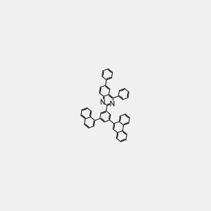 c1ccc(-c2ccc3nc(-c4cc(-c5cccc6ccccc56)cc(-c5cc6ccccc6c6ccccc56)c4)nc(-c4ccccc4)c3c2)cc1